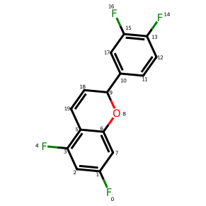 Fc1cc(F)c2c(c1)OC(c1ccc(F)c(F)c1)C=C2